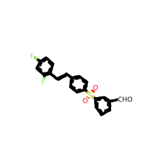 O=Cc1cccc(S(=O)(=O)c2ccc(/C=C/c3ccc(F)cc3F)cc2)c1